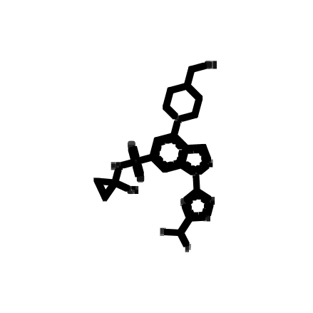 N#CC1(NS(=O)(=O)c2cc(N3CCC(CO)CC3)c3cnn(-c4nnc(C(F)F)s4)c3c2)CC1